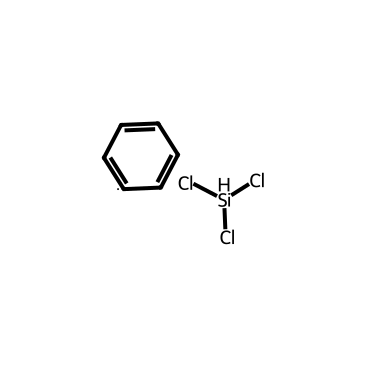 Cl[SiH](Cl)Cl.[c]1ccccc1